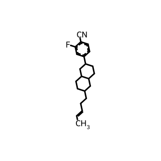 CC=CCCC1CCC2CC(c3ccc(C#N)c(F)c3)CCC2C1